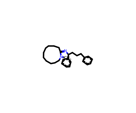 CN1CCCCCCCCCCC1=NC(CCCc1ccccc1)c1ccccc1